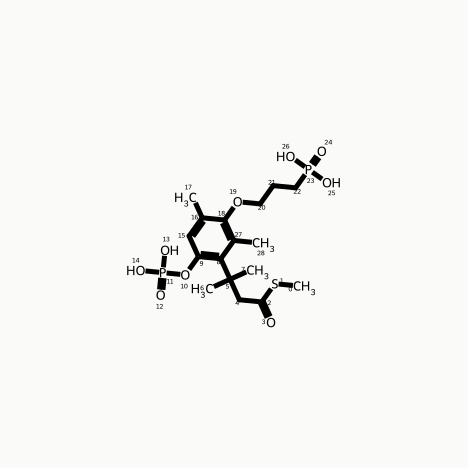 CSC(=O)CC(C)(C)c1c(OP(=O)(O)O)cc(C)c(OCCCP(=O)(O)O)c1C